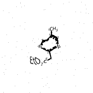 CCOC(=O)Cc1ncc(C)cn1